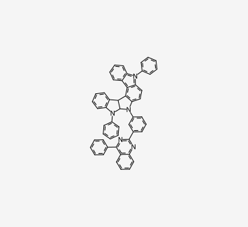 c1ccc(-c2nc(-c3cccc(N4c5ccc6c(c5C5c7ccccc7N(c7ccccc7)C54)c4ccccc4n6-c4ccccc4)c3)nc3ccccc23)cc1